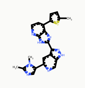 Cc1ccc(-c2ccnc3[nH]c(-c4n[nH]c5cnc(-c6cnc(C)n6C)cc45)nc23)s1